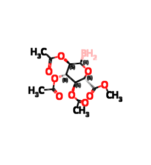 B[C@H]1O[C@H](C(=O)OC)[C@@H](OC(C)=O)[C@H](OC(C)=O)[C@H]1OC(C)=O